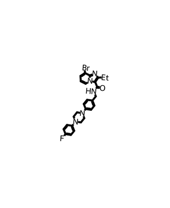 CCc1nc2c(Br)cccn2c1C(=O)NCc1ccc(N2CCN(c3ccc(F)cc3)CC2)cc1